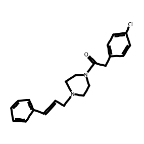 O=C(Cc1ccc(Cl)cc1)N1CCN(C/C=C/c2ccccc2)CC1